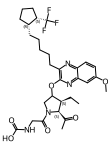 CC[C@@H]1C(Oc2nc3cc(OC)ccc3nc2CCCCC[C@@H]2CCC[C@@H]2C(F)(F)F)CN(C(=O)CNC(=O)O)[C@@H]1C(C)=O